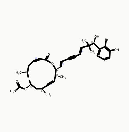 C[C@H]1C/C=C\C(=O)O[C@@H](/C=C/C#C/C=C/C(C)(C)[C@@H](O)c2cccc(O)c2Br)[C@H](C)/C=C/[C@@H](C)C[C@@H](OC(N)=O)C1